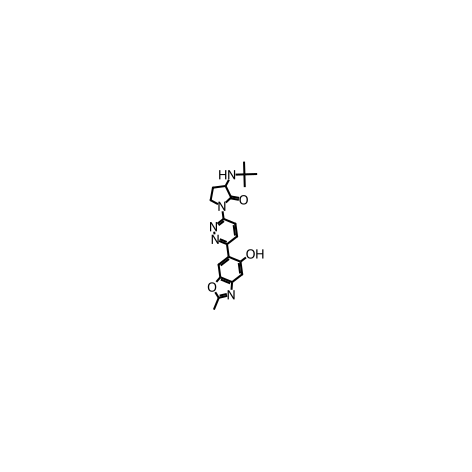 Cc1nc2cc(O)c(-c3ccc(N4CCC(NC(C)(C)C)C4=O)nn3)cc2o1